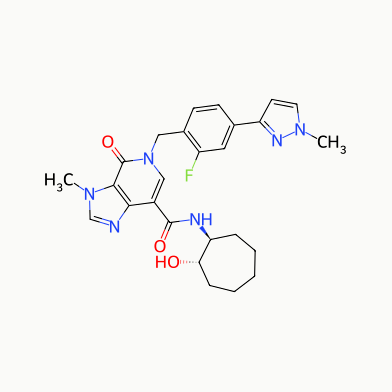 Cn1ccc(-c2ccc(Cn3cc(C(=O)N[C@H]4CCCCC[C@@H]4O)c4ncn(C)c4c3=O)c(F)c2)n1